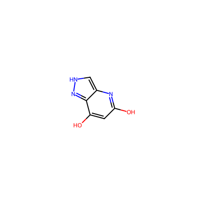 Oc1cc(O)c2n[nH]cc2n1